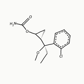 CC[C@@](OC)(c1ccccc1Cl)[C@H]1CC1OC(N)=O